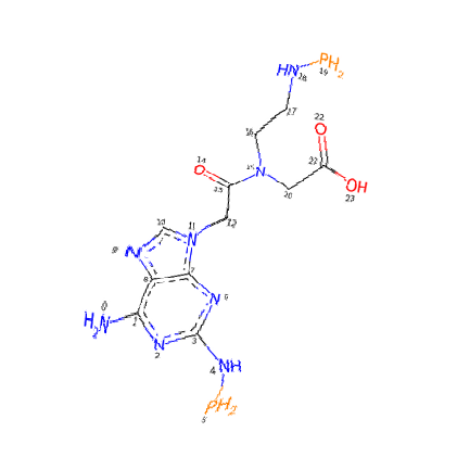 Nc1nc(NP)nc2c1ncn2CC(=O)N(CCNP)CC(=O)O